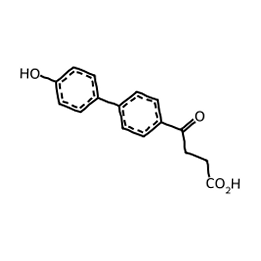 O=C(O)CCC(=O)c1ccc(-c2ccc(O)cc2)cc1